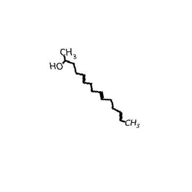 CC=CCCC=CCCC=CCCC(C)O